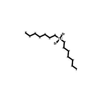 CCCCCCC[Te](Br)(Br)CCCCCCC